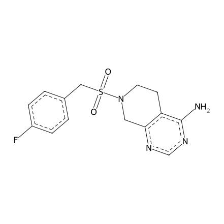 Nc1ncnc2c1CCN(S(=O)(=O)Cc1ccc(F)cc1)C2